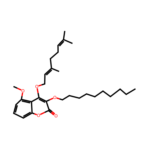 CCCCCCCCCCOc1c(OC/C=C(\C)CCC=C(C)C)c2c(OC)cccc2oc1=O